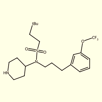 CC(C)(C)CCS(=O)(=O)N(CCCc1cccc(OC(F)(F)F)c1)C1CCNCC1